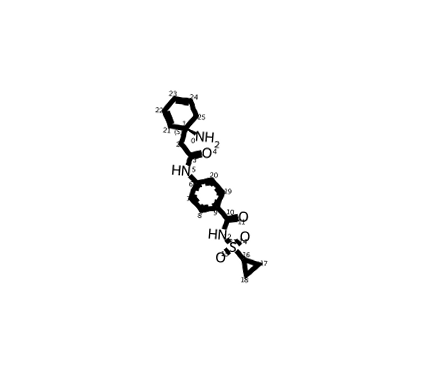 N[C@@]1(CC(=O)Nc2ccc(C(=O)NS(=O)(=O)C3CC3)cc2)C=CC=CC1